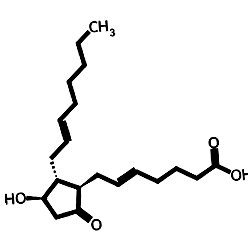 CCCCCC=CC[C@H]1[C@H](O)CC(=O)[C@@H]1CC=CCCCC(=O)O